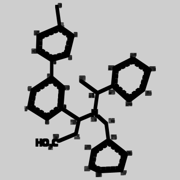 Cc1ccc(-c2cccc(C(CC(=O)O)N(Cc3ccccc3)C(C)c3ccccc3)c2)cc1